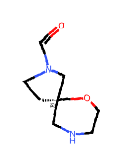 O=CN1CC[C@]2(CNCCO2)C1